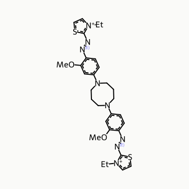 CC[n+]1ccsc1/N=N/c1ccc(N2CCCN(c3ccc(/N=N/c4scc[n+]4CC)c(OC)c3)CCC2)cc1OC